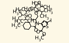 COC(=O)c1sc(I)cc1N(C(=O)[C@H]1CC[C@H](C)CC1)C(CO[Si](C(C)C)(C(C)C)C(C)C)CO[Si](C(C)C)(C(C)C)C(C)C